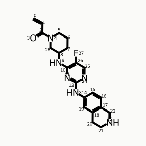 C=CC(=O)N1CCCC(Nc2nc(Nc3ccc4c(c3)CCNC4)ncc2F)C1